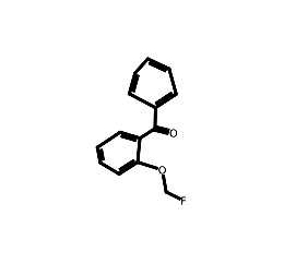 O=C(c1ccccc1)c1ccccc1OCF